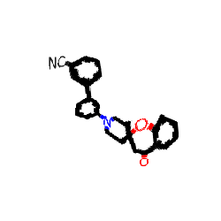 N#Cc1cccc(-c2cccc(N3CCC4(CC3)CC(=O)c3ccccc3O4)c2)c1